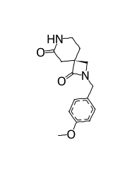 COc1ccc(CN2C[C@@]3(CCNC(=O)C3)C2=O)cc1